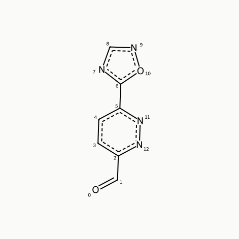 O=Cc1ccc(-c2ncno2)nn1